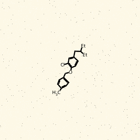 CCC(CC)Cc1ccc(OCc2ccc(C)cc2)c(Cl)c1